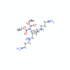 CC(C)(C)OC(=O)N(C(=O)O)C(=O)OC(C)(C)C.NCCCNCCCCNCCCN